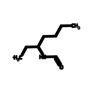 [CH2]CC(CCCC)NC=O